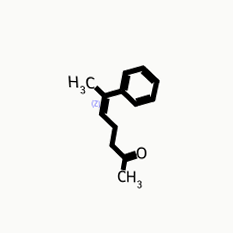 CC(=O)CC/C=C(/C)c1ccccc1